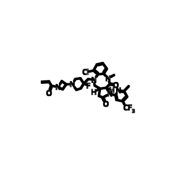 C=CC(=O)N1CC(N2CCC(F)(CN3C[C@H]4CC(=O)N(c5cc(C(F)(F)F)cc(C)n5)[C@@H]4C(=O)N(C)c4cccc(Cl)c43)CC2)C1